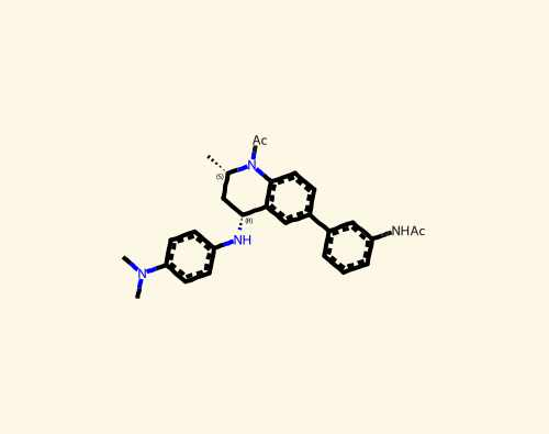 CC(=O)Nc1cccc(-c2ccc3c(c2)[C@H](Nc2ccc(N(C)C)cc2)C[C@H](C)N3C(C)=O)c1